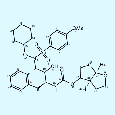 COc1ccc(S(=O)(=O)N(CC(O)[C@H](Cc2ccccc2)NC(=O)OC2CO[C@H]3OCC[C@@H]23)OC2CCCCC2)cc1